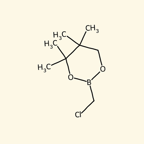 CC1(C)COB(CCl)OC1(C)C